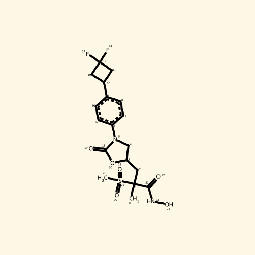 CC(CC1CN(c2ccc(C3CC(F)(F)C3)cc2)C(=O)O1)(C(=O)NO)S(C)(=O)=O